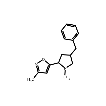 Cc1cc(C2CC(Cc3ccccc3)CN2C)on1